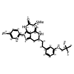 CSCC(=O)Nc1c2c(nn1-c1ccc(C(C)C)cn1)C[C@H](CCc1cccc(OCC(C)(F)F)c1)NC2=O